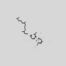 CC(C)CCCC(C)CCCC(C)CCO[C@@H]1OC(CO)[C@@H](O[C@@H]2OC(CO)[C@H](O)[C@H](O)C2O)[C@H](O)C1O